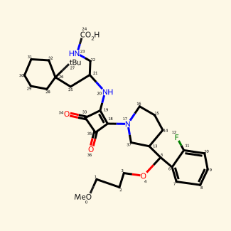 COCCCOC(c1ccccc1F)C1CCCN(c2c(NC(CNC(=O)O)CC3(C(C)(C)C)CCCCC3)c(=O)c2=O)C1